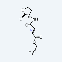 CCOC(=O)/C=C/C(=O)N[C@H]1CCOC1=O